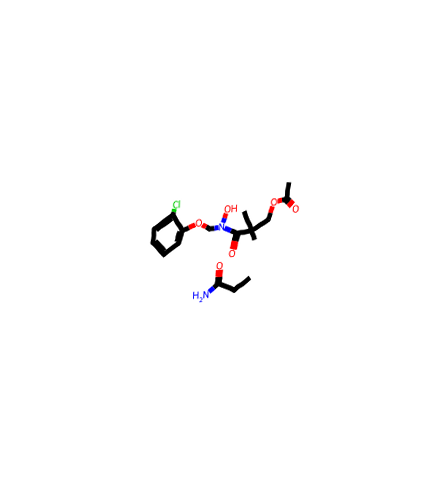 CC(=O)OCC(C)(C)C(=O)N(O)COc1ccccc1Cl.CCC(N)=O